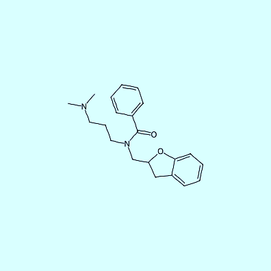 CN(C)CCCN(CC1Cc2ccccc2O1)C(=O)c1ccccc1